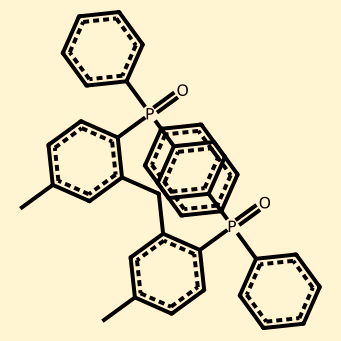 Cc1ccc(P(=O)(c2ccccc2)c2ccccc2)c(Cc2cc(C)ccc2P(=O)(c2ccccc2)c2ccccc2)c1